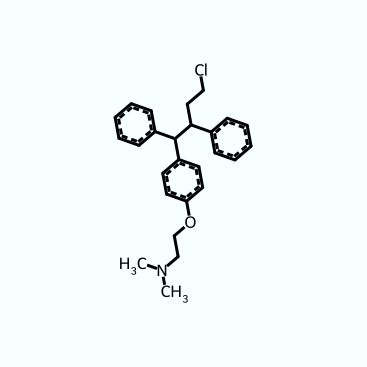 CN(C)CCOc1ccc(C(c2ccccc2)C(CCCl)c2ccccc2)cc1